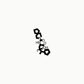 CC(c1ccccc1)C(F)(F)CC(NC(=O)N1CCC2(CCCC2)CC1)C(=O)O